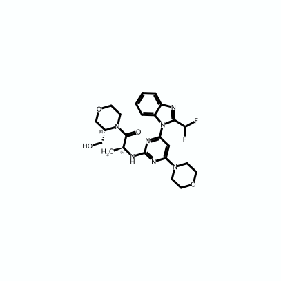 C[C@H](Nc1nc(N2CCOCC2)cc(-n2c(C(F)F)nc3ccccc32)n1)C(=O)N1CCOC[C@H]1CO